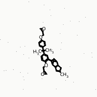 CC1CC2C3CC(c4cc(C(C)(C)c5ccc(OCC6CO6)cc5)ccc4OCC4CO4)C(C3)C2C1